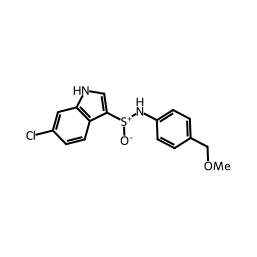 COCc1ccc(N[S+]([O-])c2c[nH]c3cc(Cl)ccc23)cc1